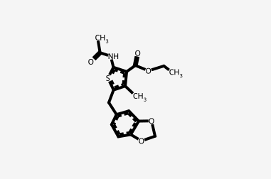 CCOC(=O)c1c(NC(C)=O)sc(Cc2ccc3c(c2)OCO3)c1C